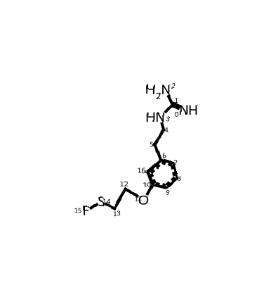 N=C(N)NCCc1cccc(OCCSF)c1